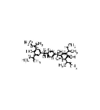 C=CC(C)c1cc(C(C)(C)c2ccc(C(C)(C)c3cc(C(C)C=C)c(O)c(C(C)C=C)c3)cc2)cc(C(C)C=C)c1O